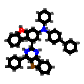 c1ccc(-c2ccc(N(c3ccccc3)c3cc(-c4nc(-c5ccccc5)c5sc6ccccc6c5n4)c4c(c3)oc3ccccc34)cc2)cc1